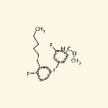 CCCCCCc1ccccc1F.COC.Fc1cccc(F)c1